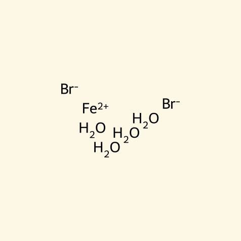 O.O.O.O.[Br-].[Br-].[Fe+2]